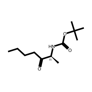 CCCCC(=O)[C@H](C)NC(=O)OC(C)(C)C